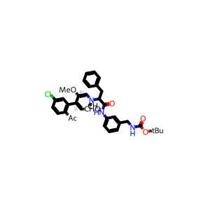 COC(=C/N(C)C(Cc1ccccc1)C(=O)Nc1cccc(CNC(=O)OC(C)(C)C)c1)/C(=C\C=O)c1cc(Cl)ccc1C(C)=O